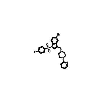 O=S(=O)(c1ccc(F)cc1)n1cc(CN2CCN(c3ccccn3)CC2)c2cc(Br)ccc21